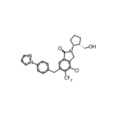 O=C1c2cc(Cc3ccc(-n4cccn4)cc3)c(C(F)(F)F)c(Cl)c2CN1[C@H]1CCC[C@@H]1CO